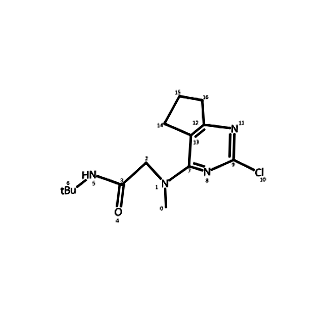 CN(CC(=O)NC(C)(C)C)c1nc(Cl)nc2c1CCC2